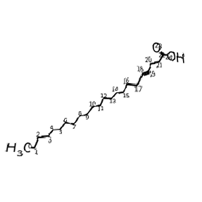 CCCCCCCCCCCCCCCCCC/C=C/CCC(=O)O